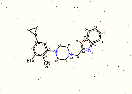 CCc1cc(C2CC2)cc(N2CCN(Cc3nc4ccccc4s3)CC2)c1C#N